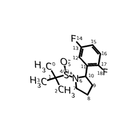 CC(C)(C)[S@@+]([O-])N1CCCC1c1cc(F)ccc1F